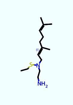 CCSN(C/C=C(\C)CCC=C(C)C)CCN